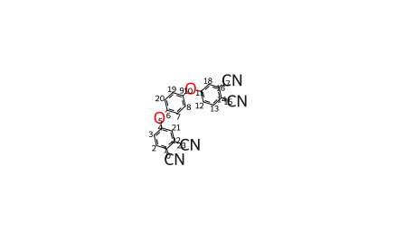 N#Cc1ccc(Oc2ccc(Oc3ccc(C#N)c(C#N)c3)cc2)cc1C#N